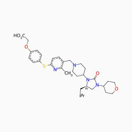 Cc1nc(Sc2ccc(OCC(=O)O)cc2)ccc1CN1CCC(N2C(=O)N(C3CCOCC3)C[C@H]2CC(C)C)CC1